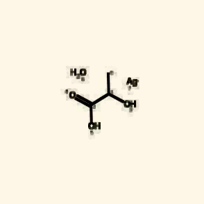 CC(O)C(=O)O.O.[Ag]